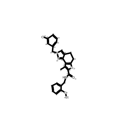 CCOc1ccccc1CNC(=O)c1oc2c(c1C)-c1nn(Cc3cccc(Cl)c3)cc1CC2